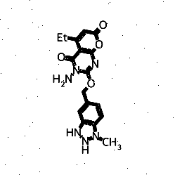 CCc1cc(=O)oc2nc(OCc3ccc4c(c3)NNN4C)n(N)c(=O)c12